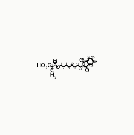 CC(C(=O)O)[PH](=O)OCCCCCCCCN1C(=O)c2ccccc2C1=O